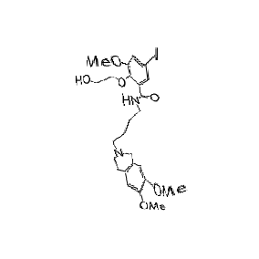 COc1cc2c(cc1OC)CN(CCCCNC(=O)c1cc(I)cc(OC)c1OCCO)CC2